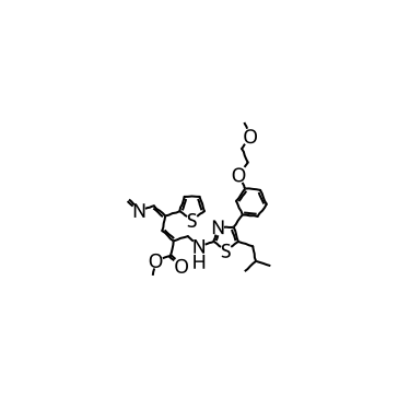 C=N/C=C(\C=C(/CNc1nc(-c2cccc(OCCOC)c2)c(CC(C)C)s1)C(=O)OC)c1cccs1